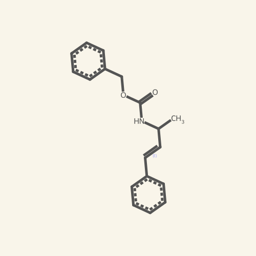 CC(/C=C/c1ccccc1)NC(=O)OCc1ccccc1